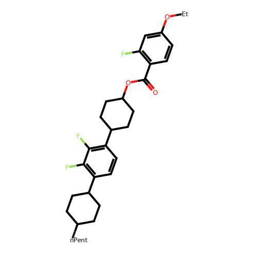 CCCCCC1CCC(c2ccc(C3CCC(OC(=O)c4ccc(OCC)cc4F)CC3)c(F)c2F)CC1